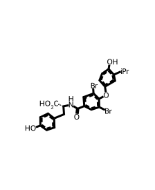 CC(C)c1cc(Oc2c(Br)cc(C(=O)N[C@H](Cc3ccc(O)cc3)C(=O)O)cc2Br)ccc1O